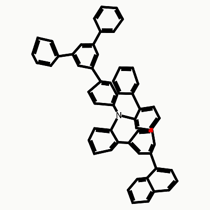 c1ccc(-c2cc(-c3ccccc3)cc(-c3ccc(N(c4ccccc4-c4ccccc4)c4ccccc4-c4cccc(-c5cccc6ccccc56)c4)cc3)c2)cc1